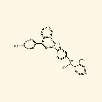 COc1ccccc1C(O)Nc1ccc2c(c1)nc1c3ccccc3c(-c3ccc(C)cc3)nn21